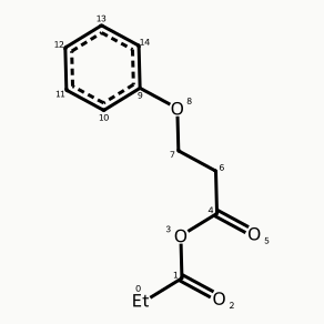 CCC(=O)OC(=O)CCOc1ccccc1